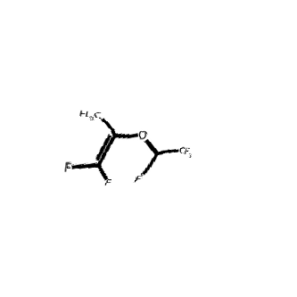 CC(OC(F)C(F)(F)F)=C(F)F